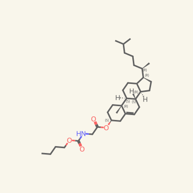 CCCCOC(=O)NCC(=O)O[C@H]1CC[C@@]2(C)C(=CC[C@H]3[C@@H]4CC[C@H]([C@H](C)CCCC(C)C)C4CC[C@@H]32)C1